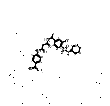 CC(NC(=O)CC(=O)Nc1ccc(C(=N)N)cc1)c1ccc(S(=O)(=O)NC2CCCOC2)c(C(F)(F)F)c1